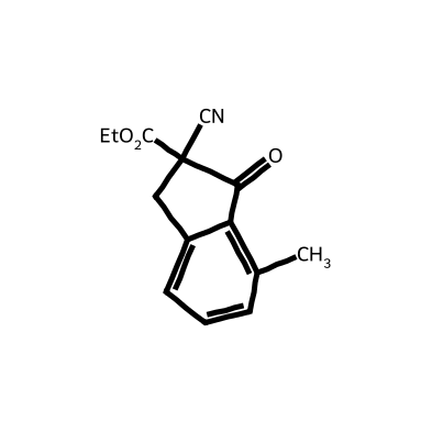 CCOC(=O)C1(C#N)Cc2cccc(C)c2C1=O